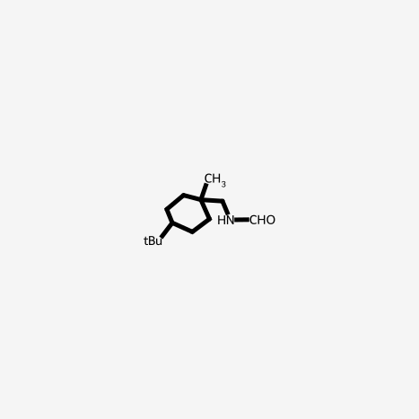 CC1(CNC=O)CCC(C(C)(C)C)CC1